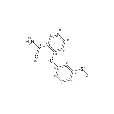 CSc1cccc(Oc2ccncc2C(N)=O)c1